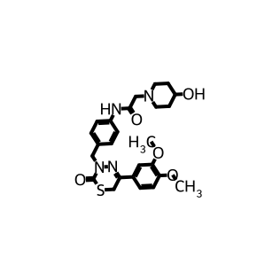 COc1ccc(C2=NN(Cc3ccc(NC(=O)CN4CCC(O)CC4)cc3)C(=O)SC2)cc1OC